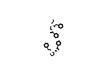 CCCN(Cc1nc(-c2ccc(Oc3ccc(-c4c[nH]c([C@@H]5CCCN5C(=O)Cc5ccccc5)n4)cc3)cc2)c[nH]1)C(=O)[C@H](C)c1ccccc1